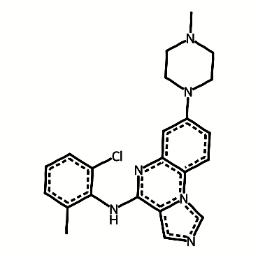 Cc1cccc(Cl)c1Nc1nc2cc(N3CCN(C)CC3)ccc2n2cncc12